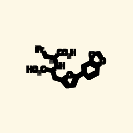 CC(C)C[C@H](NC(Cc1ccc(-c2ccc3c(c2)OCO3)o1)C(=O)O)C(=O)O